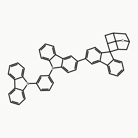 c1cc(-n2c3ccccc3c3ccccc32)cc(-n2c3ccccc3c3cc(-c4ccc5c(c4)-c4ccccc4C54C5CC6CC7CC4C75C6)ccc32)c1